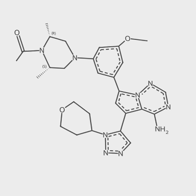 COc1cc(-c2cc(-c3cnnn3C3CCOCC3)c3c(N)ncnn23)cc(N2C[C@@H](C)N(C(C)=O)[C@@H](C)C2)c1